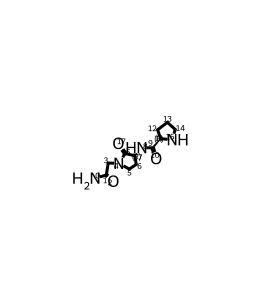 NC(=O)CN1CC[C@@H](NC(=O)[C@H]2CCCN2)C1=O